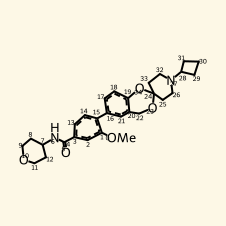 COc1cc(C(=O)NC2CCOCC2)ccc1-c1ccc2c(c1)COC1(CCN(C3CCC3)CC1)O2